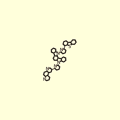 c1cc(-c2cnc3ccc4ncccc4c3c2)nc(-n2c3ccccc3c3c2ccc2c4ccccc4n(-c4cccc(-c5cccc6c5sc5ccccc56)n4)c23)c1